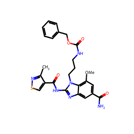 COc1cc(C(N)=O)cc2nc(NC(=O)c3csnc3C)n(CCCNC(=O)OCc3ccccc3)c12